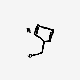 [Ni].[O]CC1C=CC=C1